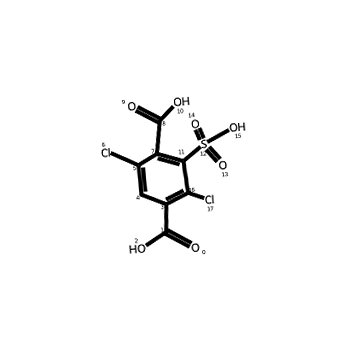 O=C(O)c1cc(Cl)c(C(=O)O)c(S(=O)(=O)O)c1Cl